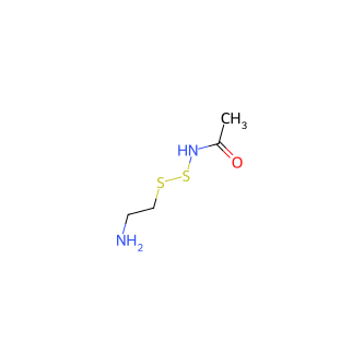 CC(=O)NSSCCN